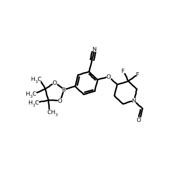 CC1(C)OB(c2ccc(OC3CCN(C=O)CC3(F)F)c(C#N)c2)OC1(C)C